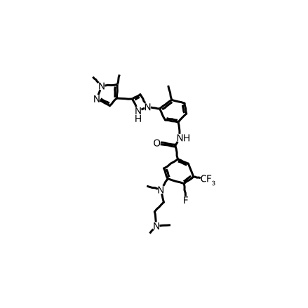 Cc1ccc(NC(=O)c2cc(N(C)CCN(C)C)c(F)c(C(F)(F)F)c2)cc1-n1cc(-c2cnn(C)c2C)[nH]1